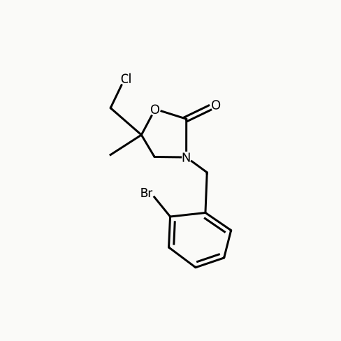 CC1(CCl)CN(Cc2ccccc2Br)C(=O)O1